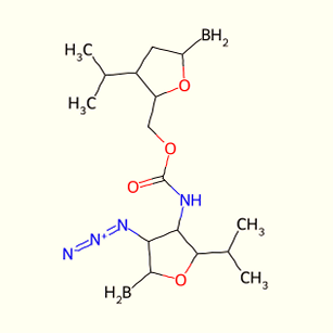 BC1CC(C(C)C)C(COC(=O)NC2C(N=[N+]=[N-])C(B)OC2C(C)C)O1